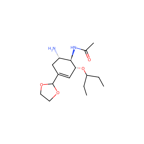 CCC(CC)O[C@@H]1C=C(C2OCCO2)C[C@H](N)[C@H]1NC(C)=O